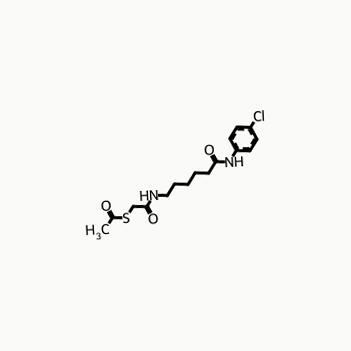 CC(=O)SCC(=O)NCCCCCC(=O)Nc1ccc(Cl)cc1